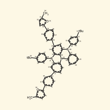 Cc1ccc(-c2ccc(-c3ccc4c(c3)B(c3ccc(C(C)(C)C)cc3)c3cc(-c5ccc(-c6ccc(C)o6)cc5)cc5c3N4c3ccccc3B5c3ccc(C(C)(C)C)cc3)cc2)o1